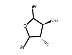 CC(C)C1OC(C(C)C)[C@@H](F)[C@@H]1O